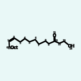 CCCCCCCC/C=C\CCCCCCCC(=O)[CH]CO